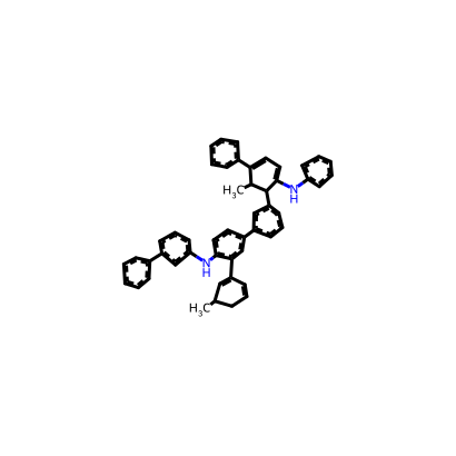 CC1C=C(c2cc(-c3cccc(C4C(Nc5ccccc5)=CC=C(c5ccccc5)C4C)c3)ccc2Nc2cccc(-c3ccccc3)c2)C=CC1